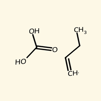 O=C(O)O.[CH]=CCC